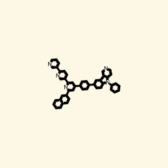 c1ccc(-n2c3ccncc3c3cc(-c4ccc(-c5cc(-c6ccc(-c7cccnc7)nc6)nc(-c6ccc7ccccc7c6)c5)cc4)ccc32)cc1